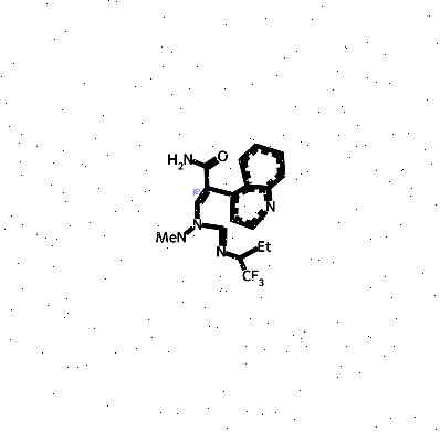 CCC(N=CN(/C=C(/C(N)=O)c1ccnc2ccccc12)NC)C(F)(F)F